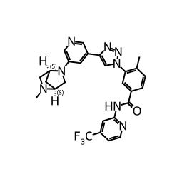 Cc1ccc(C(=O)Nc2cc(C(F)(F)F)ccn2)cc1-n1cc(-c2cncc(N3C[C@@H]4C[C@H]3CN4C)c2)nn1